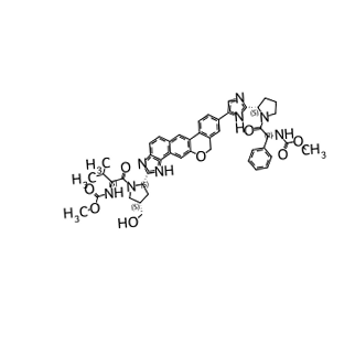 COC(=O)N[C@H](C(=O)N1C[C@@H](CO)C[C@H]1c1nc2ccc3cc4c(cc3c2[nH]1)OCc1cc(-c2cnc([C@@H]3CCCN3C(=O)[C@H](NC(=O)OC)c3ccccc3)[nH]2)ccc1-4)C(C)C